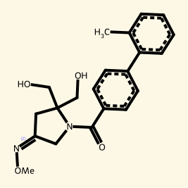 CO/N=C1\CN(C(=O)c2ccc(-c3ccccc3C)cc2)C(CO)(CO)C1